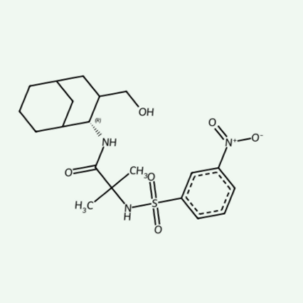 CC(C)(NS(=O)(=O)c1cccc([N+](=O)[O-])c1)C(=O)N[C@H]1C(CO)CC2CCCC1C2